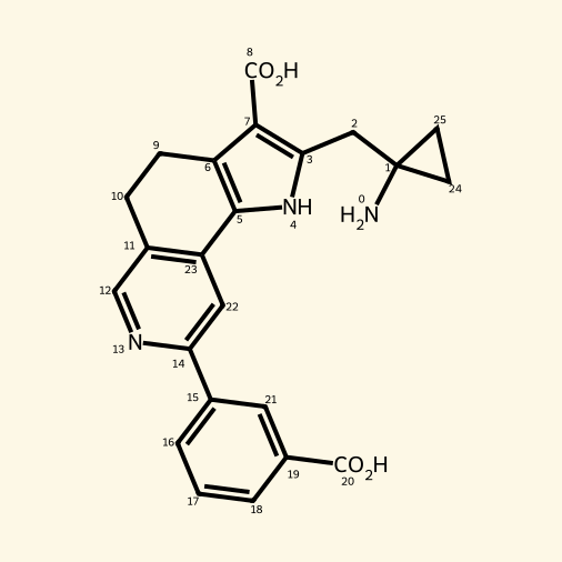 NC1(Cc2[nH]c3c(c2C(=O)O)CCc2cnc(-c4cccc(C(=O)O)c4)cc2-3)CC1